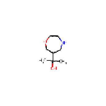 CC(C)(O)C1CNCCOC1